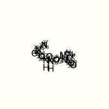 CCn1ccc2nc(-c3ccc(NC(=O)Nc4ccc(C(=O)N(C)CCN(C)C)cc4)cc3)nc(N3CCOCC3)c21